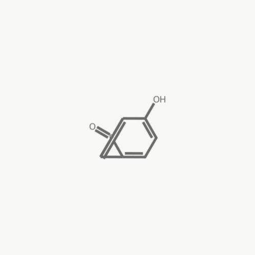 O=P12C3=CC=C(O)C1=C32